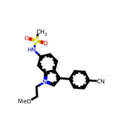 COCCn1cc(-c2ccc(C#N)cc2)c2ccc(NS(C)(=O)=O)cc21